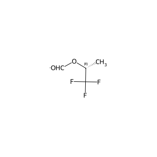 C[C@@H](O[C]=O)C(F)(F)F